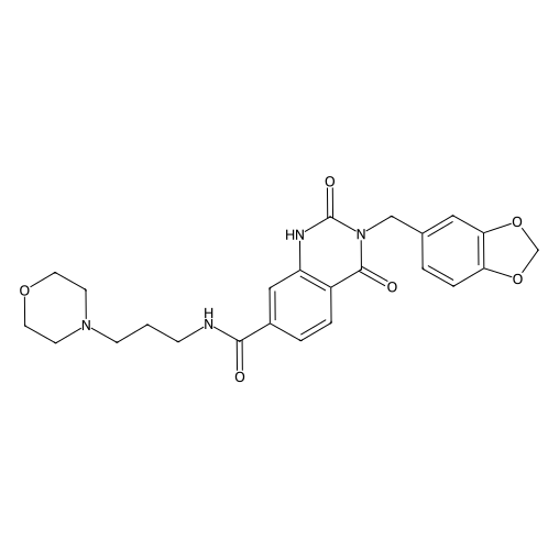 O=C(NCCCN1CCOCC1)c1ccc2c(=O)n(Cc3ccc4c(c3)OCO4)c(=O)[nH]c2c1